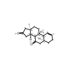 C[C@]12CC[C@@H]3[C@@H](C(=O)CC4CCC=C[C@@]43C)[C@@H]1CC(=O)C2